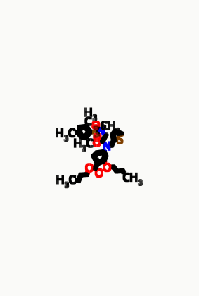 CCCCOC(=O)c1ccc(N(Cc2cccs2)C(=O)CN(C)S(=O)(=O)c2c(C)cc(C)cc2C)cc1OCCCC